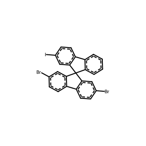 Brc1ccc2c(c1)C1(c3ccccc3-c3ccc(I)cc31)c1cc(Br)ccc1-2